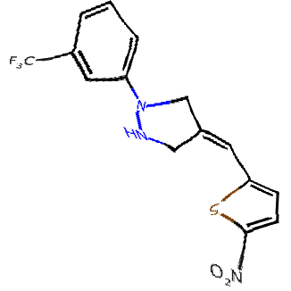 O=[N+]([O-])c1ccc(C=C2CNN(c3cccc(C(F)(F)F)c3)C2)s1